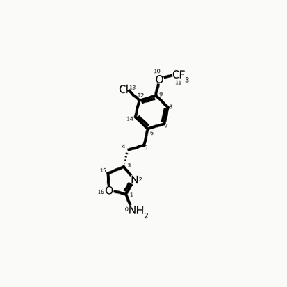 NC1=N[C@@H](CCc2ccc(OC(F)(F)F)c(Cl)c2)CO1